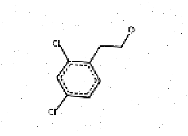 [O]CCc1ccc(Cl)cc1Cl